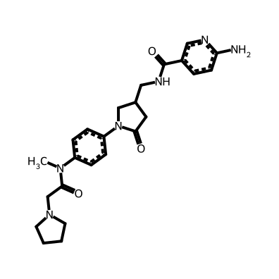 CN(C(=O)CN1CCCC1)c1ccc(N2CC(CNC(=O)c3ccc(N)nc3)CC2=O)cc1